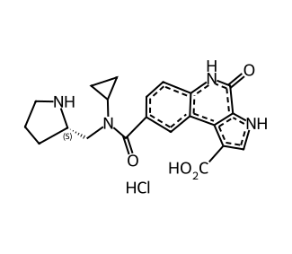 Cl.O=C(O)c1c[nH]c2c(=O)[nH]c3ccc(C(=O)N(C[C@@H]4CCCN4)C4CC4)cc3c12